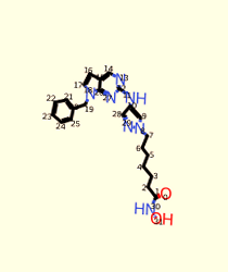 O=C(CCCCCCn1cc(Nc2ncc3ccn(Cc4ccccc4)c3n2)cn1)NO